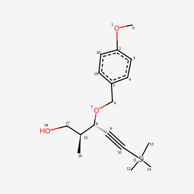 COc1ccc(CO[C@H](C#C[Si](C)(C)C)[C@@H](C)CO)cc1